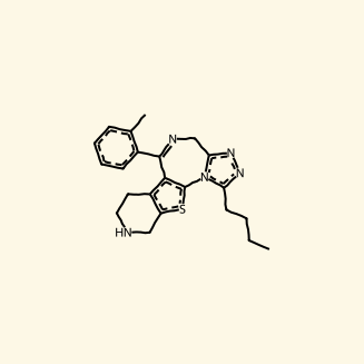 CCCCc1nnc2n1-c1sc3c(c1C(c1ccccc1C)=NC2)CCNC3